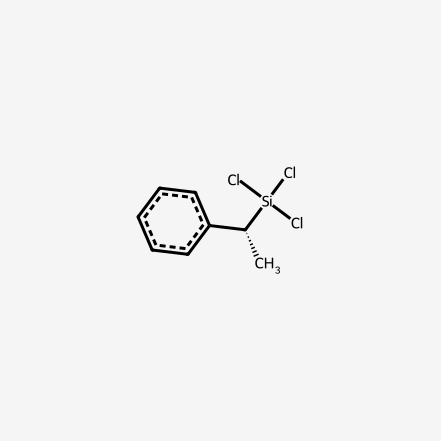 C[C@H](c1ccccc1)[Si](Cl)(Cl)Cl